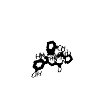 CC1(C)C2CCC1(C)C(OC(=O)C1CCCN1C(=O)C(Cc1c[nH]c3ccc(O)cc13)NC=O)C2